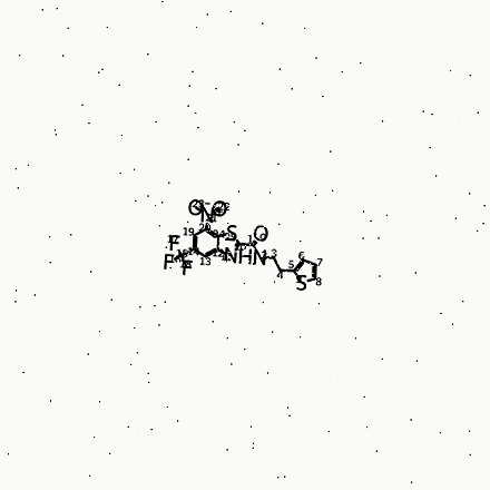 O=C(NCCc1cccs1)c1nc2cc(C(F)(F)F)cc([N+](=O)[O-])c2s1